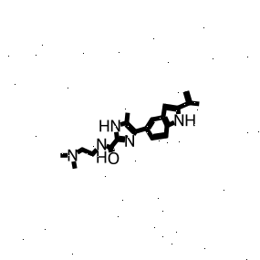 C=C(C)c1cc2cc(-c3nc(C(=O)NCCN(C)C)[nH]c3C)ccc2[nH]1